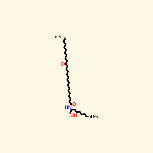 CCCCCCCCC=CCCCCCCCC(=O)CCCCCCCCCCCCCCC(=O)NC(CO)CCCCCCCCCCCCCCCC